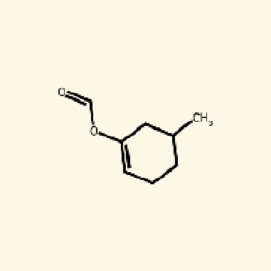 CC1CCC=C(OC=O)C1